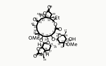 CC[C@H]1OC(=O)[C@H](C)[C@@H](O[C@H]2C[C@@](C)(OC)[C@@H](O)[C@H](C)O2)[C@H](I)[C@@H](O[C@@H]2O[C@H](C)C[C@H]3[C@H]2OC(=O)N3C)[C@](C)(OC)C[C@@H](C)C(=O)[C@H](C)[C@H]2OC(=O)C[C@@]21C